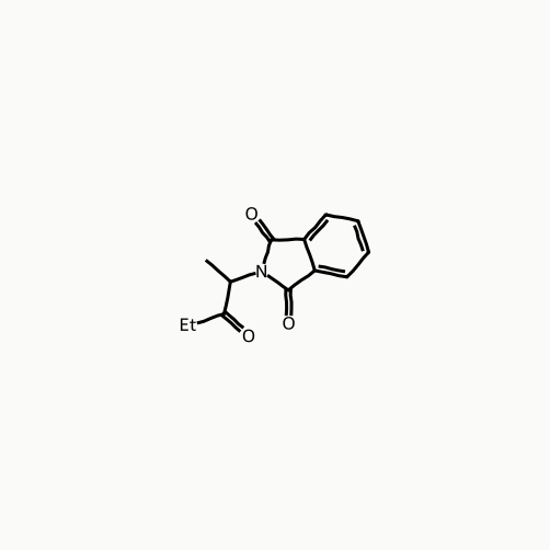 CCC(=O)C(C)N1C(=O)c2ccccc2C1=O